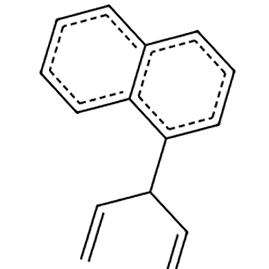 C=CC(C=C)c1cccc2ccccc12